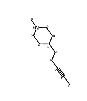 CC#CCCC1CCN(C)CC1